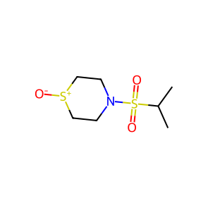 CC(C)S(=O)(=O)N1CC[S+]([O-])CC1